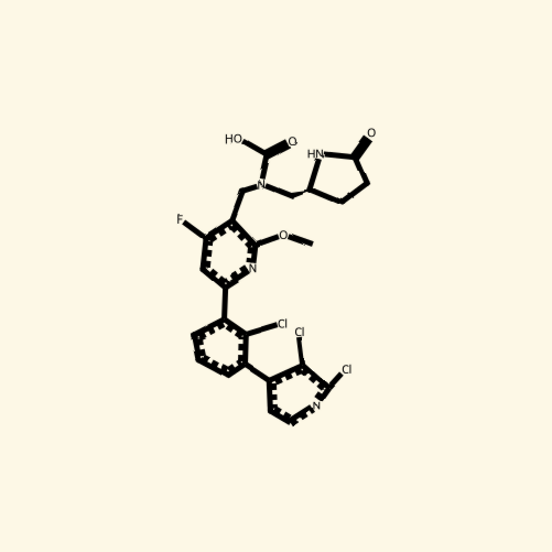 COc1nc(-c2cccc(-c3ccnc(Cl)c3Cl)c2Cl)cc(F)c1CN(C[C@@H]1CCC(=O)N1)C(=O)O